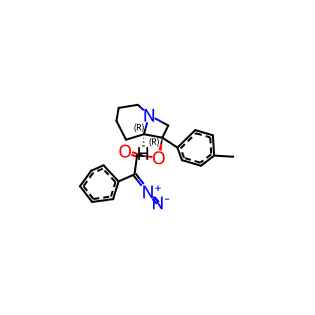 Cc1ccc([C@@]2(OC(=O)C(=[N+]=[N-])c3ccccc3)CN3CCCC[C@@H]32)cc1